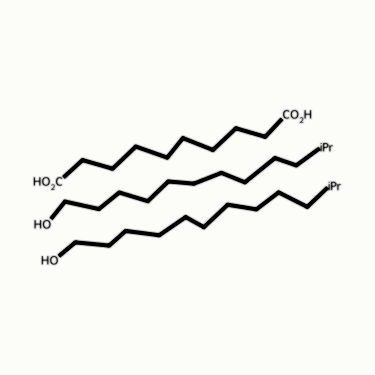 CC(C)CCCCCCCCCCO.CC(C)CCCCCCCCCCO.O=C(O)CCCCCCCCC(=O)O